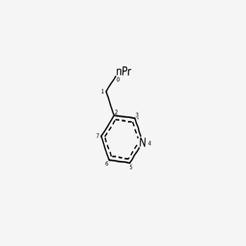 CCCCc1[c]nccc1